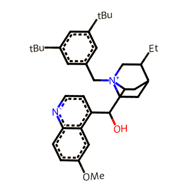 CCC1C[N+]2(Cc3cc(C(C)(C)C)cc(C(C)(C)C)c3)CCC1CC2C(O)c1ccnc2ccc(OC)cc12